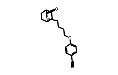 C#Cc1ccc(OCCCCN2C(=O)C3CCC2CC3)cc1